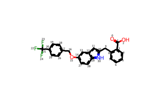 O=C(O)c1ccccc1Cc1cc2cc(OCc3ccc(C(F)(F)F)cc3)ccc2[nH]1